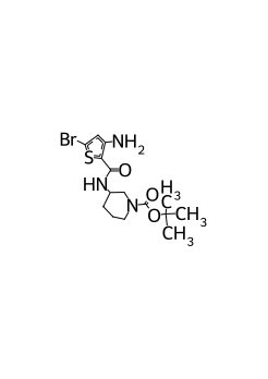 CC(C)(C)OC(=O)N1CCCC(NC(=O)c2sc(Br)cc2N)C1